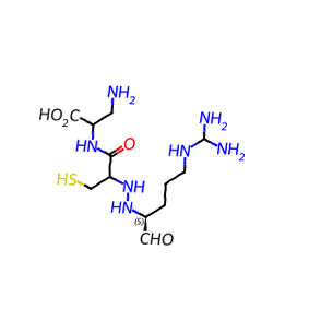 NCC(NC(=O)C(CS)NN[C@H](C=O)CCCNC(N)N)C(=O)O